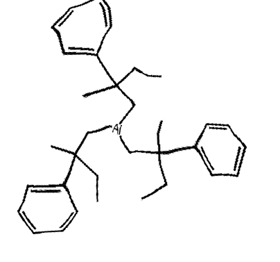 CCC(C)([CH2][Al]([CH2]C(C)(CC)c1ccccc1)[CH2]C(C)(CC)c1ccccc1)c1ccccc1